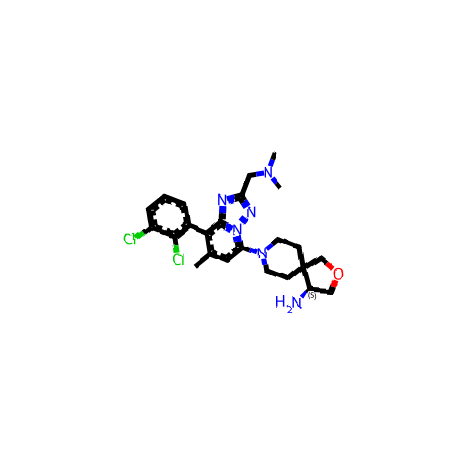 Cc1cc(N2CCC3(CC2)COC[C@H]3N)n2nc(CN(C)C)nc2c1-c1cccc(Cl)c1Cl